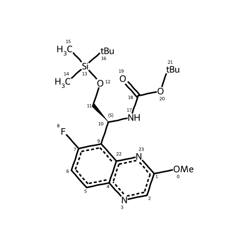 COc1cnc2ccc(F)c([C@@H](CO[Si](C)(C)C(C)(C)C)NC(=O)OC(C)(C)C)c2n1